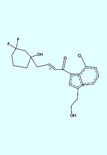 O=C(/C=C/CC1(O)CCCC(F)(F)C1)c1cc(CCO)n2cccc(Cl)c12